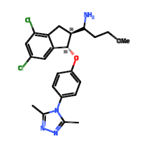 COCCC(N)[C@@H]1Cc2c(Cl)cc(Cl)cc2[C@H]1Oc1ccc(-n2c(C)nnc2C)cc1